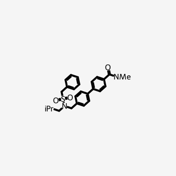 CNC(=O)c1ccc(-c2ccc(CN(CC(C)C)S(=O)(=O)Cc3ccccc3)cc2)cc1